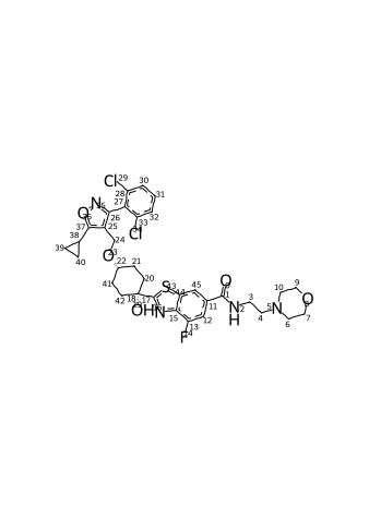 O=C(NCCN1CCOCC1)c1cc(F)c2nc([C@]3(O)CC[C@@H](OCc4c(-c5c(Cl)cccc5Cl)noc4C4CC4)CC3)sc2c1